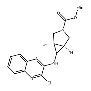 CC(C)(C)OC(=O)N1C[C@@H]2C(Nc3nc4ccccc4nc3Cl)[C@@H]2C1